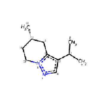 CC(C)c1cnn2c1C[C@@H](C)CC2